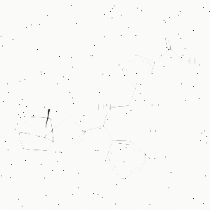 O=C(O)c1ccc(CNC(C(=O)O[C@H]2CN3CCC2CC3)c2cccnc2)s1